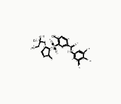 CC[C@@](O)(CO)C[C@@H]1CCC(C)[C@H]1S(=O)(=O)c1cc(C(=O)Nc2cc(F)c(F)c(F)c2)ccc1Cl